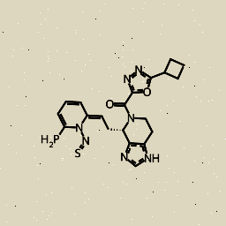 O=C(c1nnc(C2CCC2)o1)N1CCc2[nH]cnc2[C@@H]1C/C=C1/C=CC=C(P)N1N=S